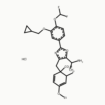 CCOC1=CC(F)C(Cc2nc(-c3ccc(OC(F)F)c(OCC4CC4)c3)oc2C(C)N)(C(=O)O)C=C1.Cl